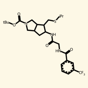 CC(C)SCC1C(NC(=O)CNC(=O)c2cccc(C(F)(F)F)c2)CC2CN(C(=O)OC(C)(C)C)CC21